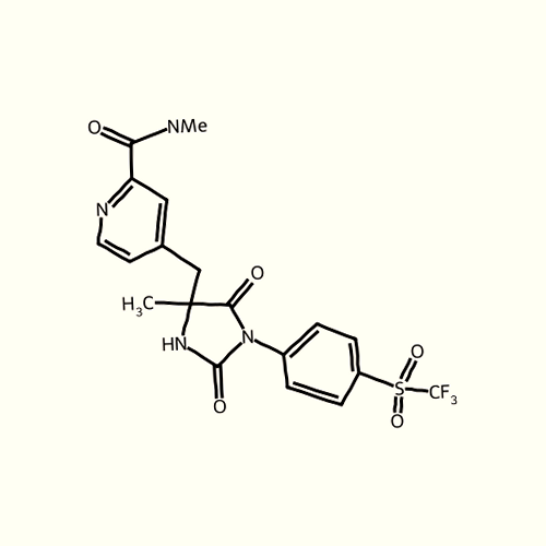 CNC(=O)c1cc(CC2(C)NC(=O)N(c3ccc(S(=O)(=O)C(F)(F)F)cc3)C2=O)ccn1